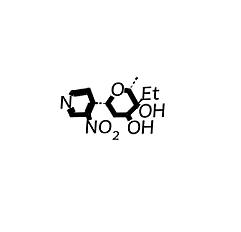 CC[C@]1(O)C(O)C[C@H](c2ccncc2[N+](=O)[O-])O[C@@H]1C